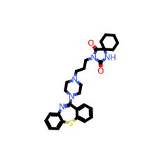 O=C1NC2(CCCCC2)C(=O)N1CCCN1CCN(C2=Nc3ccccc3Sc3ccccc32)CC1